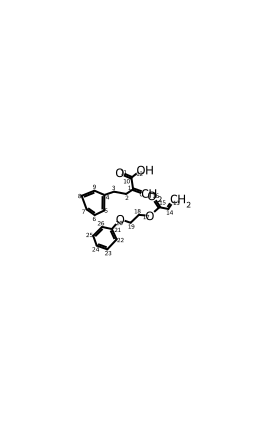 C=C(CCc1ccccc1)C(=O)O.C=CC(=O)OCCOc1ccccc1